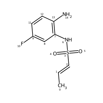 CC=CS(=O)(=O)Nc1cc(F)ccc1N